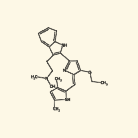 CCOC1=CC(c2[nH]c3ccccc3c2CCN(C)C)=NC1=Cc1[nH]c(C)cc1C